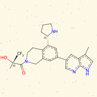 Cc1c[nH]c2ncc(-c3cc4c(c([C@@H]5CCCN5)c3)CCN(C(=O)[C@](C)(O)C(F)(F)F)C4)cc12